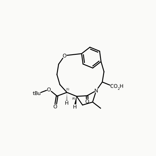 CC1C[C@H]2C(=O)N1C(C(=O)O)Cc1ccc(cc1)OCCC[C@@H]2C(=O)OC(C)(C)C